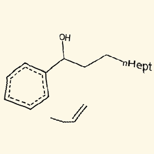 C=CC.CCCCCCCCCC(O)c1ccccc1